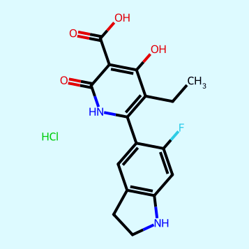 CCc1c(-c2cc3c(cc2F)NCC3)[nH]c(=O)c(C(=O)O)c1O.Cl